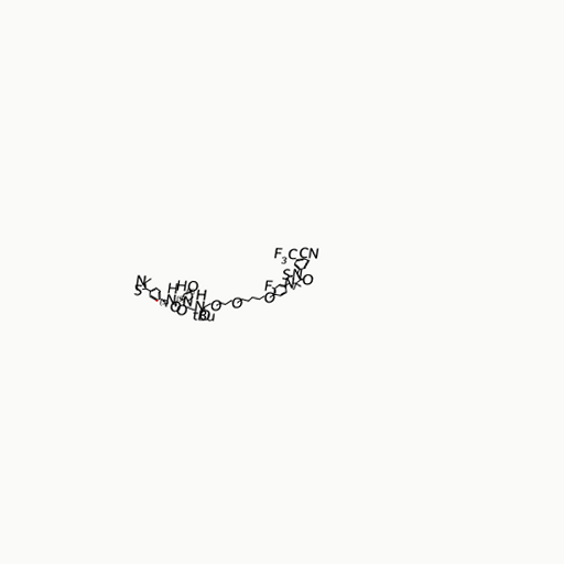 Cc1ncsc1-c1ccc([C@H](C)NC(=O)[C@@H]2C[C@@H](O)CN2C(=O)C(NC(=O)COCCCOCCCCCOc2ccc(N3C(=S)N(c4ccc(C#N)c(C(F)(F)F)c4)C(=O)C3(C)C)cc2F)C(C)(C)C)cc1